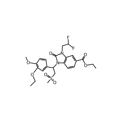 CCOC(=O)c1ccc2c(c1)n(CC(F)F)c(=O)n2C(CS(C)(=O)=O)c1ccc(OC)c(OCC)c1